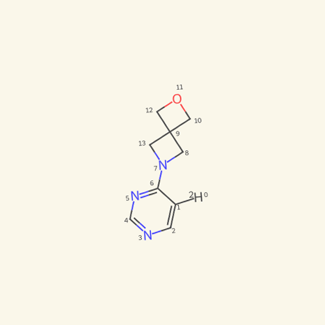 [2H]c1cncnc1N1CC2(COC2)C1